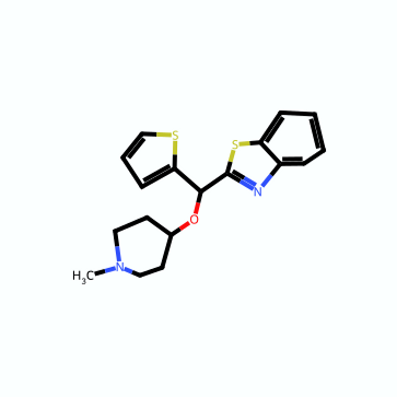 CN1CCC(OC(c2cccs2)c2nc3ccccc3s2)CC1